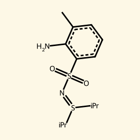 Cc1cccc(S(=O)(=O)N=S(C(C)C)C(C)C)c1N